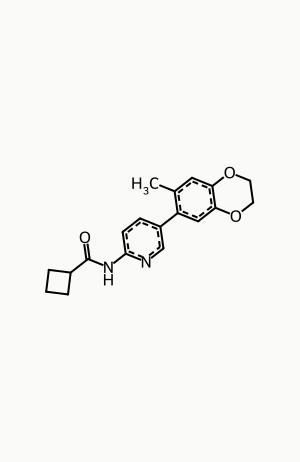 Cc1cc2c(cc1-c1ccc(NC(=O)C3CCC3)nc1)OCCO2